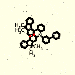 CC1(C)c2ccccc2-c2ccc(N(c3cccc(-c4ccccc4)c3)c3ccccc3-c3cccc4c3-c3ccccc3C4(C)C)cc21